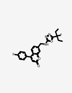 CCC(F)(CC)c1nnc(NCc2ccc3c(-c4ccc(F)cc4)cc(=O)oc3c2)o1